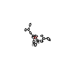 c1ccc(-c2cc(-c3ccccc3)cc(-c3ccc(-n4c5ccccc5c5cc(-c6ccc7oc8cccc(-c9nc(-c%10ccccc%10)nc(-c%10cccc(-c%11cc(-c%12ccccc%12)cc(-c%12ccccc%12)c%11)c%10)n9)c8c7c6)ccc54)cc3)c2)cc1